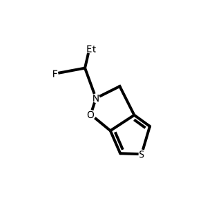 [CH2]CC(F)N1Cc2cscc2O1